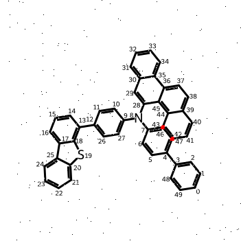 c1ccc(-c2ccc(N(c3ccc(-c4cccc5c4sc4ccccc45)cc3)c3cc4ccccc4c4ccc5ccccc5c34)cc2)cc1